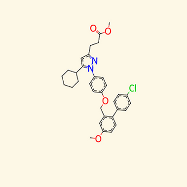 COC(=O)CCc1cc(C2CCCCC2)n(-c2ccc(OCc3cc(OC)ccc3-c3ccc(Cl)cc3)cc2)n1